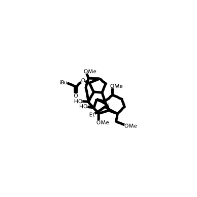 CCC(C)C(=O)OC1C2CC3C1C(O)(CC2OC)C1(O)C(OC)C2C4(COC)CCC(OC)C32C1N(CC)C4